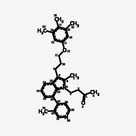 CC(=O)CCn1c(C)c(CCCOc2cc(C)c(C)c(C)c2)c2cccc(-c3ccncc3C)c21